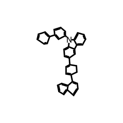 C1=C(c2ccc3c(c2)c2ccccc2n3-c2cccc(-c3ccccc3)c2)CCC(c2cccc3ccccc23)=C1